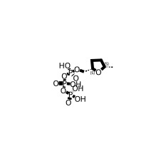 C[C@H]1CC[C@@H](COP(=O)(O)OP(=O)(O)OP(=O)(O)O)O1